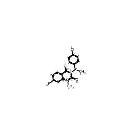 C[C@H](c1ccc(Cl)cc1)n1c(=O)c2ccc(F)cc2n(C)c1=O